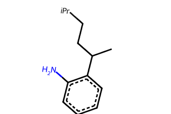 CC(C)CCC(C)c1ccccc1N